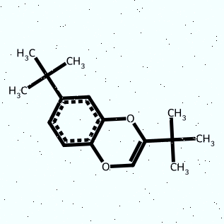 CC(C)(C)C1=COc2ccc(C(C)(C)C)cc2O1